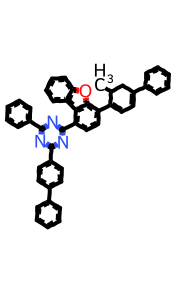 CC1CC(c2ccccc2)=CC=C1c1ccc(-c2nc(-c3ccccc3)nc(-c3ccc(-c4ccccc4)cc3)n2)c2c1oc1ccccc12